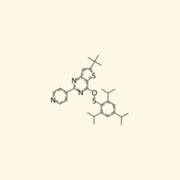 CC(C)c1cc(C(C)C)c(SOc2nc(-c3ccncc3)nc3cc(C(C)(C)C)sc23)c(C(C)C)c1